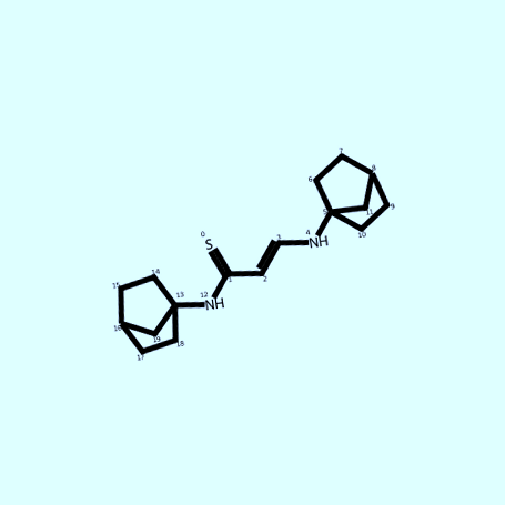 S=C(C=CNC12CCC(CC1)C2)NC12CCC(CC1)C2